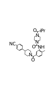 Cc1ccc(C(=O)N2CCC(c3ccc(C#N)cc3)CC2)cc1NC(=O)N1CCN(C(=O)C(C)C)CC1